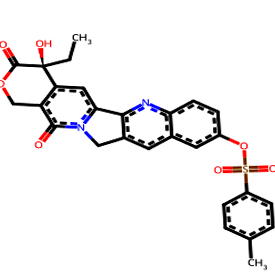 CC[C@@]1(O)C(=O)OCc2c1cc1n(c2=O)Cc2cc3cc(OS(=O)(=O)c4ccc(C)cc4)ccc3nc2-1